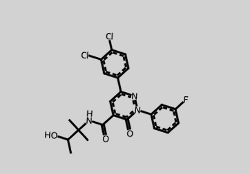 CC(O)C(C)(C)NC(=O)c1cc(-c2ccc(Cl)c(Cl)c2)nn(-c2cccc(F)c2)c1=O